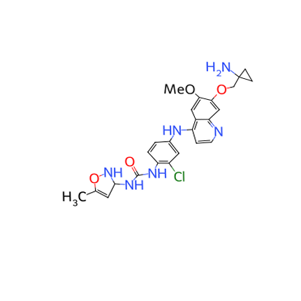 COc1cc2c(Nc3ccc(NC(=O)NC4C=C(C)ON4)c(Cl)c3)ccnc2cc1OCC1(N)CC1